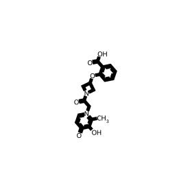 Cc1c(O)c(=O)ccn1CC(=O)N1CC(Oc2ccccc2C(=O)O)C1